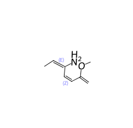 C=C(/C=C\C(N)=C/C)OC